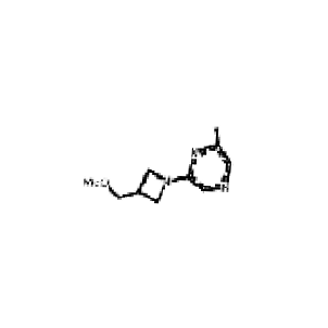 COCC1CN(c2cncc(C)n2)C1